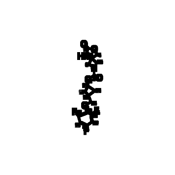 O=C1NC2(CO1)CN(C(=O)OC1CC(COc3c(F)cc(F)cc3F)C1)C2